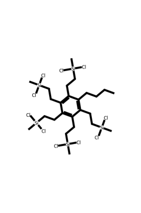 CCCCc1c(CC[Si](C)(Cl)Cl)c(CC[Si](C)(Cl)Cl)c(CC[Si](C)(Cl)Cl)c(CC[Si](C)(Cl)Cl)c1CC[Si](C)(Cl)Cl